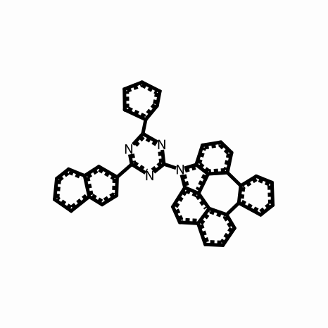 c1ccc(-c2nc(-c3ccc4ccccc4c3)nc(-n3c4cccc5c4c4c6c(cccc6ccc43)-c3ccccc3-5)n2)cc1